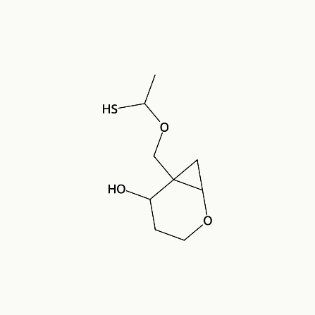 CC(S)OCC12CC1OCCC2O